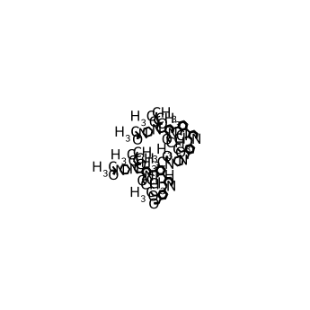 COc1cc(-c2nccc(-c3cccc(-c4ccc(CN(C(=O)OC(C)(C)C)C5CCN(C(C)=O)CC5)c(OC)n4)c3Cl)c2Cl)ccc1C=O.COc1cc(-c2nccc(-c3cccc(-c4ccc(CN(C(=O)OC(C)(C)C)C5CCN(C(C)=O)CC5)c(OC)n4)c3Cl)c2Cl)ccc1CN1CCC(NC(C)=O)CC1